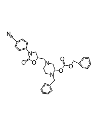 N#Cc1ccc(N2CC(CN3CCN(Cc4ccccc4)C(OC(=O)OCc4ccccc4)C3)OC2=O)cc1